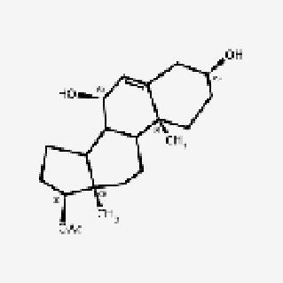 CC(=O)O[C@H]1CCC2C3C(CC[C@@]21C)[C@@]1(C)CC[C@H](O)CC1=C[C@@H]3O